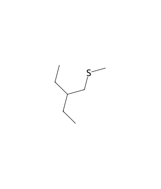 CCC(CC)CSC